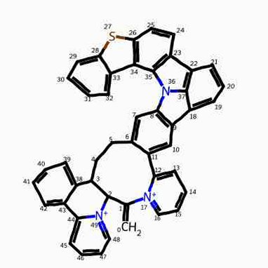 C=C1C2C(CCc3cc4c(cc3-c3cccc[n+]31)c1cccc3c5ccc6sc7ccccc7c6c5n4c13)c1ccccc1-c1cccc[n+]12